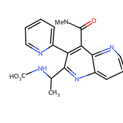 CNC(=O)c1c(-c2ccccn2)c(C(C)NC(=O)O)nc2cccnc12